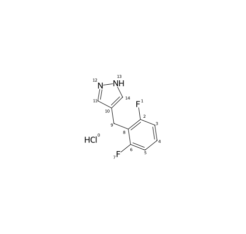 Cl.Fc1cccc(F)c1Cc1cn[nH]c1